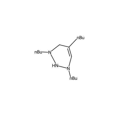 CCCCC1=CN(CCCC)NN(CCCC)C1